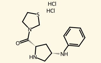 Cl.Cl.O=C([C@@H]1C[C@H](Nc2ccccc2)CN1)N1CCSC1